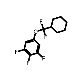 Fc1cc(OC(F)(F)C2CCCCC2)cc(F)c1F